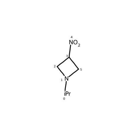 CC(C)N1CC([N+](=O)[O-])C1